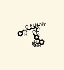 CCCC1=NC(CC)(CCCC(=O)NCc2ccccc2)C(C(=O)OCc2ccc(-c3ccccc3-c3nnn[nH]3)cc2)=N1